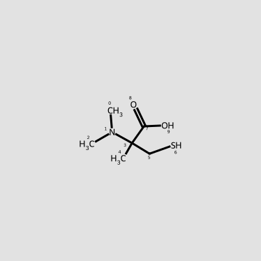 CN(C)C(C)(CS)C(=O)O